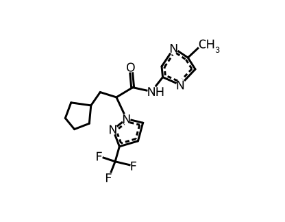 Cc1cnc(NC(=O)C(CC2CCCC2)n2ccc(C(F)(F)F)n2)cn1